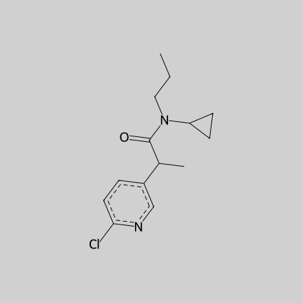 CCCN(C(=O)C(C)c1ccc(Cl)nc1)C1CC1